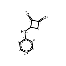 O=C1[CH]C(Nc2ccncc2)C1=O